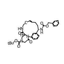 CC(C)(C)OC(=O)N1CC(=O)N2c3cccc(c3)[C@@H](NC(=O)OCc3ccccc3)CC/C=C/CCNC(=O)[C@H]2C1